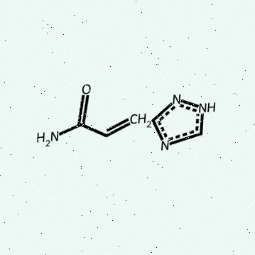 C=CC(N)=O.c1nc[nH]n1